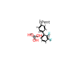 CCCCCc1ccc(-c2cccc(F)c2F)cc1.OB(O)O